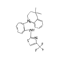 CC1(C)CCN(c2ccccc2Nc2nc(C(F)(F)F)cs2)c2ccccc21